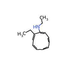 CCNc1ccccccccc1CC